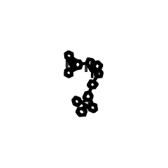 c1ccc([Si]2(c3ccccc3)c3ccccc3-c3cc(-c4ccc(-c5ccc6ccc7ccc(-c8cc9c%10ccccc%10n%10c%11ccccc%11c(c8)c9%10)nc7c6n5)cc4)ccc32)cc1